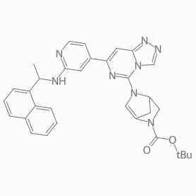 CC(Nc1cc(-c2cc3nncn3c(N3C=C4CC3CN4C(=O)OC(C)(C)C)n2)ccn1)c1cccc2ccccc12